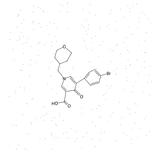 O=C(O)c1cn(CC2CCOCC2)cc(-c2ccc(Br)cc2)c1=O